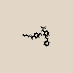 CCCCOC(=O)c1ccc(COc2c(CCc3ccccc3)cccc2C[S+](C)[O-])cc1